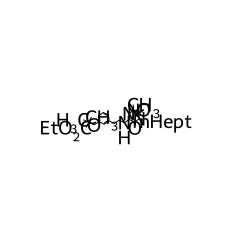 CCCCCCCn1c(=O)c(NCCc2cccc(OC(C)(C)C(=O)OCC)c2)nn(C)c1=O